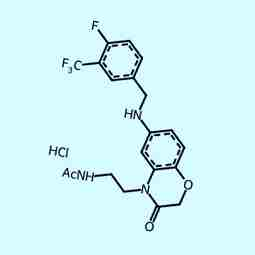 CC(=O)NCCN1C(=O)COc2ccc(NCc3ccc(F)c(C(F)(F)F)c3)cc21.Cl